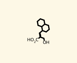 O=C(O)C(=CC1CCCC2CCCCC12)CO